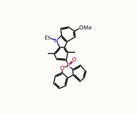 CCn1c2ccc(OC)cc2c2c(C)c(P3(=O)Oc4ccccc4-c4ccccc43)cc(C)c21